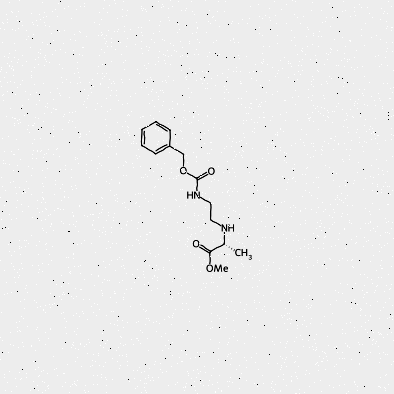 COC(=O)[C@@H](C)NCCNC(=O)OCc1ccccc1